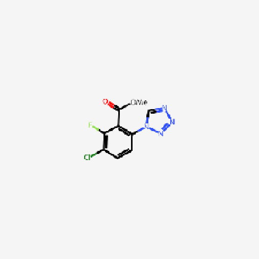 COC(=O)c1c(-n2cnnn2)ccc(Cl)c1F